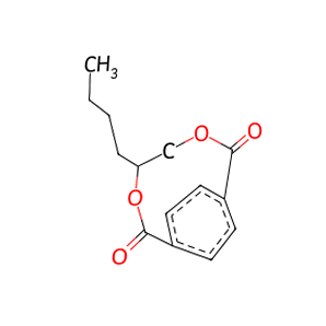 CCCCC1COC(=O)c2ccc(cc2)C(=O)O1